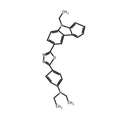 CCN(CC)c1ccc(-c2nnc(-c3ccc4c(c3)c3ccccc3n4CC)o2)cc1